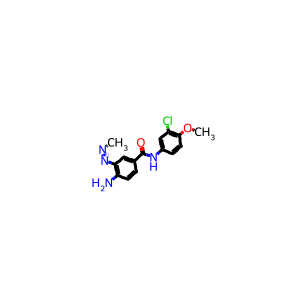 C/N=N\c1cc(C(=O)Nc2ccc(OC)c(Cl)c2)ccc1N